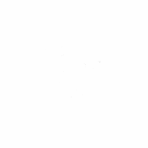 C/C=C(\c1cc(CC)c(C(C)=C(C)C)cc1NCN)C1CCCCC1